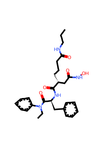 CCCNC(=O)CCC[C@H](CC(=O)NO)C(=O)N[C@@H](Cc1ccccc1)C(=O)N(CC)c1ccccc1